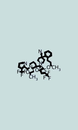 CCC[C@H]1N(C(=O)c2ncccc2C(F)(F)F)CCC[C@@]1(Oc1csc(C(F)(F)F)c1)C(=O)N1CCC(C#N)(c2ccccc2CCC(C)=O)CC1